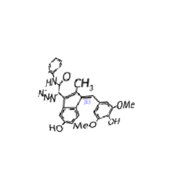 COc1cc(/C=C2/C(C)=C(C(N=[N+]=[N-])C(=O)Nc3ccccc3)c3cc(O)ccc32)cc(OC)c1O